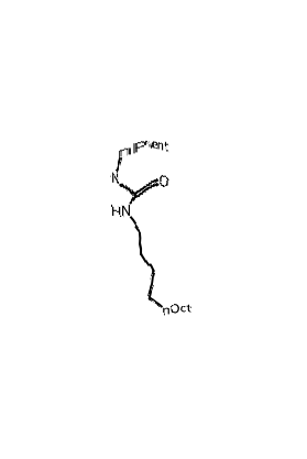 CCCCCCCCCCCCNC(=O)[N]CCCCC